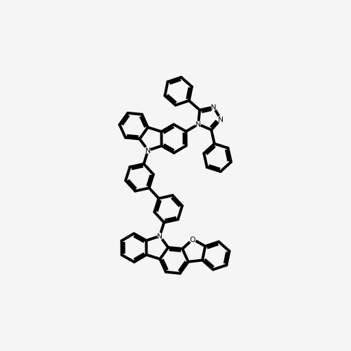 c1ccc(-c2nnc(-c3ccccc3)n2-c2ccc3c(c2)c2ccccc2n3-c2cccc(-c3cccc(-n4c5ccccc5c5ccc6c7ccccc7oc6c54)c3)c2)cc1